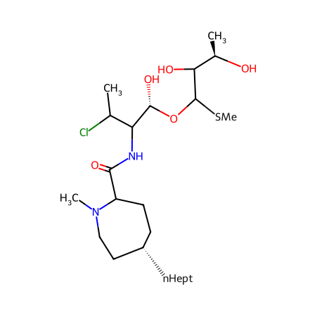 CCCCCCC[C@H]1CCC(C(=O)NC(C(C)Cl)[C@H](O)OC(SC)C(O)[C@@H](C)O)N(C)CC1